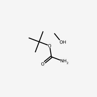 CC(C)(C)OC(N)=O.CO